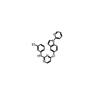 CCc1cccc(Nc2nccc(Oc3ccc4c(ccn4-c4ccccn4)c3)n2)c1